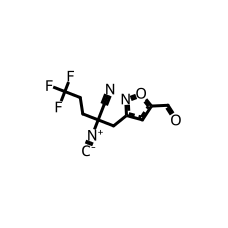 [C-]#[N+]C(C#N)(CCC(F)(F)F)Cc1cc(C=O)on1